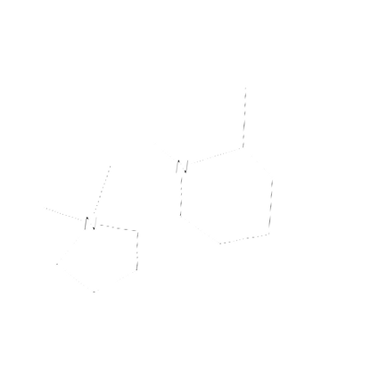 CC1CCCCN1C.C[N+]1(C)CCCC1